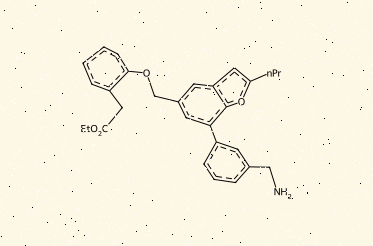 CCCc1cc2cc(COc3ccccc3CC(=O)OCC)cc(-c3cccc(CN)c3)c2o1